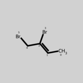 C/C=C(\Br)CBr